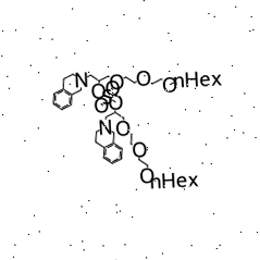 CCCCCCOCCOCCOCC(CN1CCc2ccccc2C1)OS(=O)(=O)OC(COCCOCCOCCCCCC)CN1CCc2ccccc2C1